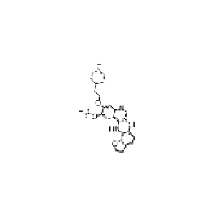 COc1cc2c(Nc3c(Cl)ccc4ccoc34)ncnc2cc1OCCC1CCNCC1